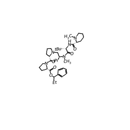 CCC(OC(=O)[C@@H]1CCCN1C(=O)[C@@H]1CCCN1C[C@H](C(C)C)N(C)C(=O)[C@@H](NC(=O)[C@H]1CCCCN1C)C(C)(C)C)c1ccccc1